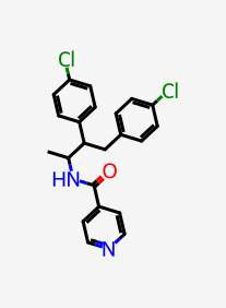 CC(NC(=O)c1ccncc1)C(Cc1ccc(Cl)cc1)c1ccc(Cl)cc1